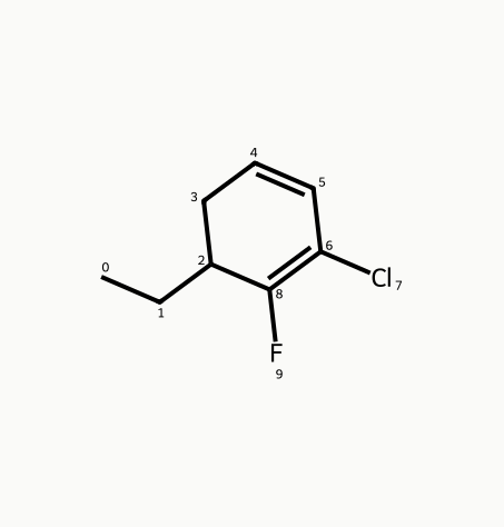 CCC1CC=CC(Cl)=C1F